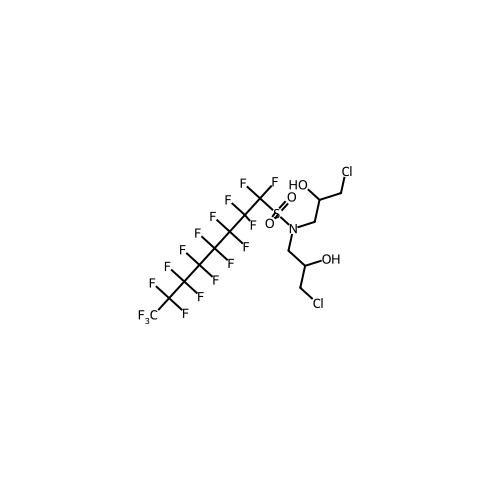 O=S(=O)(N(CC(O)CCl)CC(O)CCl)C(F)(F)C(F)(F)C(F)(F)C(F)(F)C(F)(F)C(F)(F)C(F)(F)C(F)(F)F